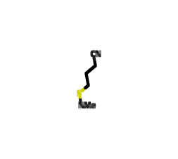 CNSCCCC#N